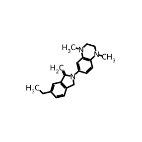 C=C1c2cc(CC)ccc2CN1c1ccc2c(c1)N(C)CCN2C